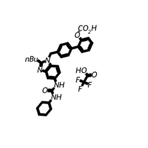 CCCCc1nc2cc(NC(=O)NC3CCCCC3)ccc2n1Cc1ccc(-c2ccccc2OC(=O)O)cc1.O=C(O)C(F)(F)F